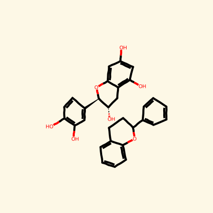 Oc1cc(O)c2c(c1)O[C@H](c1ccc(O)c(O)c1)[C@@H](O)C2.c1ccc(C2CCc3ccccc3O2)cc1